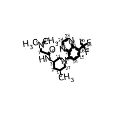 C[C@H]1C[C@@H](NC(=O)CN(C)C)CN(c2ccc(C(F)(F)I)c3nccnc23)C1